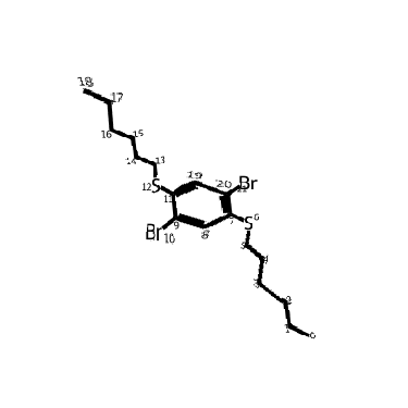 CCCCCCSc1cc(Br)c(SCCCCCC)cc1Br